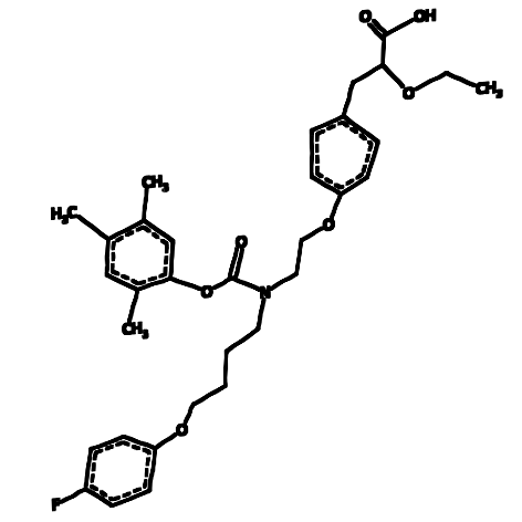 CCOC(Cc1ccc(OCCN(CCCCOc2ccc(F)cc2)C(=O)Oc2cc(C)c(C)cc2C)cc1)C(=O)O